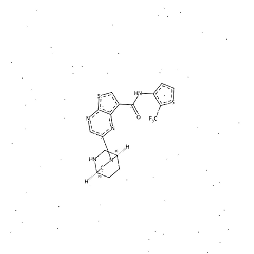 O=C(Nc1ccsc1C(F)(F)F)c1csc2ncc(N3C[C@H]4CC[C@@H]3CN4)nc12